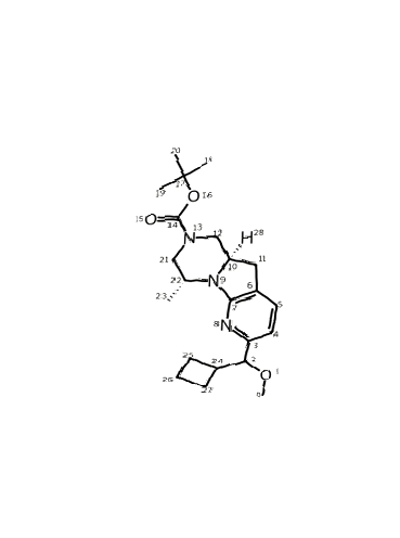 COC(c1ccc2c(n1)N1[C@H](C2)CN(C(=O)OC(C)(C)C)C[C@H]1C)C1CCC1